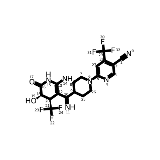 N#Cc1cnc(N2CCC(C(=N)C3=C(N)NC(=O)[C@H](O)[C@@H]3C(F)(F)F)CC2)cc1C(F)(F)F